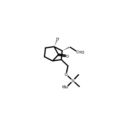 CC(C)(C)[Si](C)(C)OCC1C2CC[C@H](C2=O)[C@@H]1CC=O